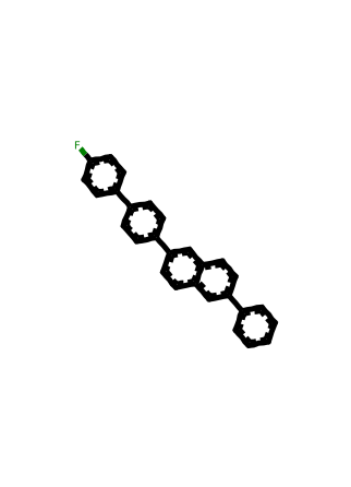 Fc1ccc(-c2ccc(-c3ccc4cc(-c5ccccc5)ccc4c3)cc2)cc1